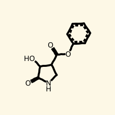 O=C1NCC(C(=O)Oc2ccccc2)C1O